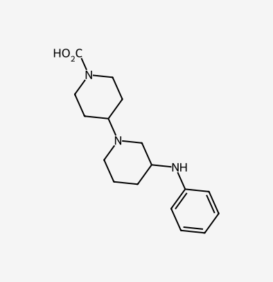 O=C(O)N1CCC(N2CCCC(Nc3ccccc3)C2)CC1